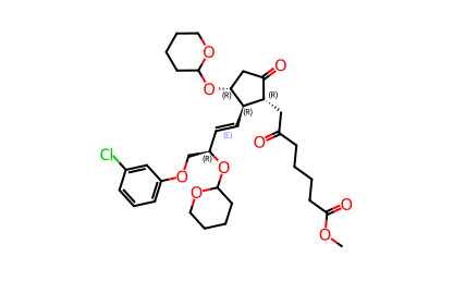 COC(=O)CCCCC(=O)C[C@H]1C(=O)C[C@@H](OC2CCCCO2)[C@@H]1/C=C/[C@H](COc1cccc(Cl)c1)OC1CCCCO1